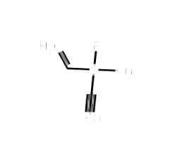 C#CS(C)(F)C=C